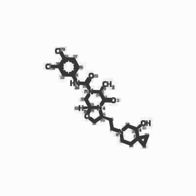 C[C@H]1C(=O)N2[C@@H](CCN3CCC4(CC4)[C@H](O)C3)CO[C@@H]2CN1C(=O)Nc1ccc(Cl)c(Cl)c1